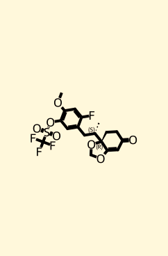 COc1cc(F)c(C[C@H](C)[C@]23CCC(=O)C=C2OCO3)cc1OS(=O)(=O)C(F)(F)F